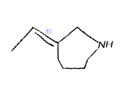 C/C=C1\CCNC1